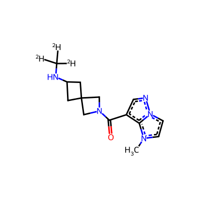 [2H]C([2H])([2H])NC1CC2(C1)CN(C(=O)c1cnn3ccn(C)c13)C2